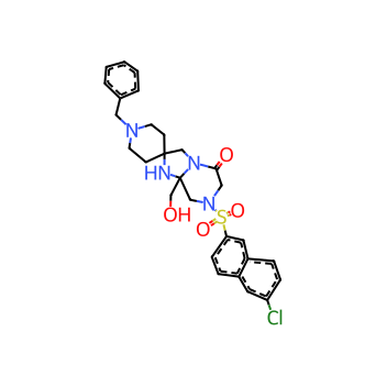 O=C1CN(S(=O)(=O)c2ccc3cc(Cl)ccc3c2)CC2(CO)NC3(CCN(Cc4ccccc4)CC3)CN12